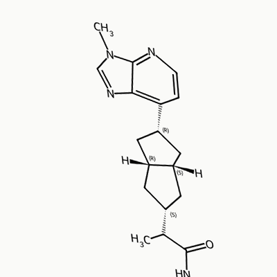 CC(C(=O)NC(C)(C)C)[C@H]1C[C@H]2C[C@@H](c3ccnc4c3ncn4C)C[C@H]2C1